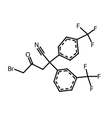 N#CC(CC(=O)CBr)(c1ccc(C(F)(F)F)cc1)c1cccc(C(F)(F)F)c1